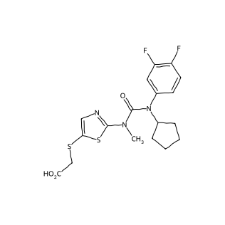 CN(C(=O)N(c1ccc(F)c(F)c1)C1CCCC1)c1ncc(SCC(=O)O)s1